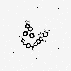 O=C1CCC(N2C(=O)c3cc4c(cc3C2=O)CN(C(=O)C2CCC(CN3CC(Oc5ccc([C@@H]6c7ccc(O)cc7CC[C@@H]6c6ccccc6)cc5)C3)CC2)C4)C(=O)N1